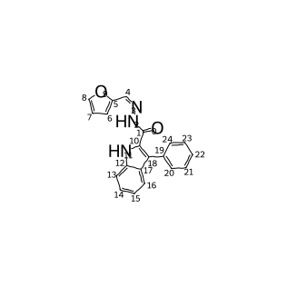 O=C(N/N=C\c1ccco1)c1[nH]c2ccccc2c1-c1ccccc1